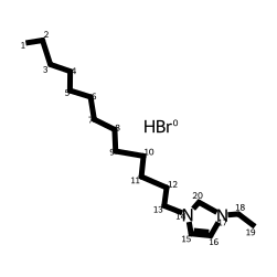 Br.CCCCCCCCCCCCCN1C=CN(CC)C1